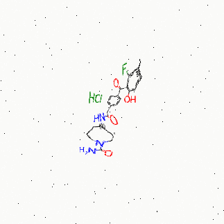 Cc1ccc(O)c(C(=O)c2ccc(C(=O)N[C@@H]3[CH]CN(C(N)=O)CCC3)cc2)c1F.Cl